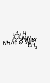 CC(=O)Nc1ccccc1C(=O)Nc1nc(Br)c(C)s1